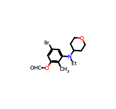 CCN(c1cc(Br)cc(OC=O)c1C)C1CCOCC1